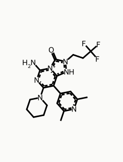 Cc1cc(-c2c(N3CCCCC3)nc(N)[n+]3c(=O)n(CCC(F)(F)F)[nH]c23)cc(C)n1